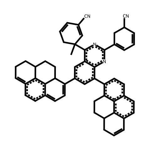 CC1(c2nc(C3=CC=CC(C#N)C3)nc3c(-c4ccc5ccc6c7c5c4CCC7CC=C6)cc(C4=CC=c5ccc6c7c5C4CCC7CCC=6)cc23)C=C(C#N)C=CC1